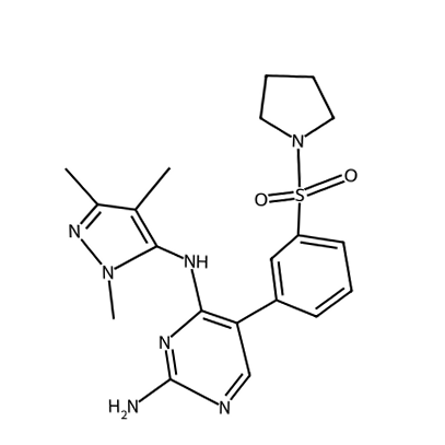 Cc1nn(C)c(Nc2nc(N)ncc2-c2cccc(S(=O)(=O)N3CCCC3)c2)c1C